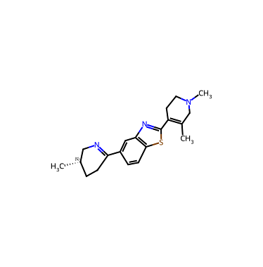 CC1=C(c2nc3cc(C4=NC[C@@H](C)CC4)ccc3s2)CCN(C)C1